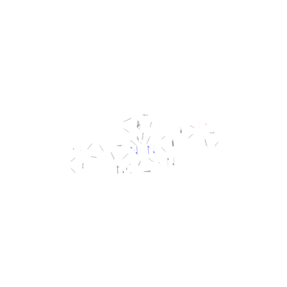 N#Cc1ccc(C#N)c(-n2c3ccc(-c4ccc5oc6ccccc6c5c4)cc3c3c4ccccc4ccc32)c1-n1c2ccc(-c3ccc4oc5ccccc5c4c3)cc2c2c3ccccc3ccc21